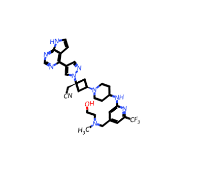 CN(CCO)Cc1cc(NC2CCN([C@H]3C[C@](CC#N)(n4cc(-c5ncnc6[nH]ccc56)cn4)C3)CC2)nc(C(F)(F)F)c1